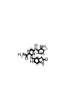 CN1C(=O)Cc2cc(Nc3nc(N[C@@H]4CCCC[C@@H]4N)cnc3C(N)=O)ccc21